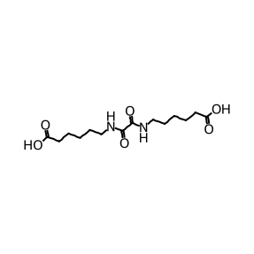 O=C(O)CCCCCNC(=O)C(=O)NCCCCCC(=O)O